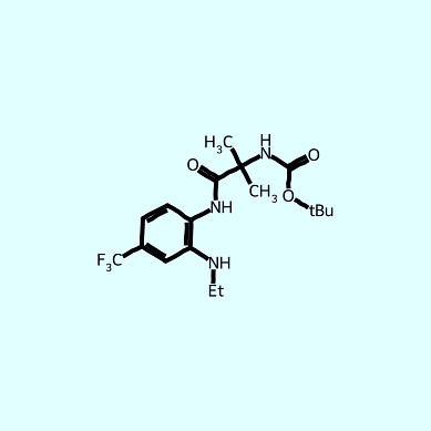 CCNc1cc(C(F)(F)F)ccc1NC(=O)C(C)(C)NC(=O)OC(C)(C)C